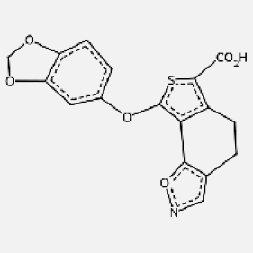 O=C(O)c1sc(Oc2ccc3c(c2)OCO3)c2c1CCc1cnoc1-2